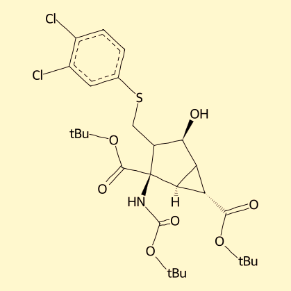 CC(C)(C)OC(=O)N[C@@]1(C(=O)OC(C)(C)C)C(CSc2ccc(Cl)c(Cl)c2)[C@@H](O)C2[C@H](C(=O)OC(C)(C)C)[C@H]21